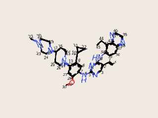 C=Cc1cnc(Nc2cc(C3CC3)c(N3CCC(N4CCN(C)CC4)CC3)cc2OC)nc1Nc1ccc2nccnc2c1CC